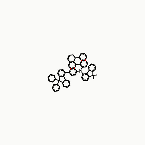 CC1(C)c2ccccc2-c2c(N(c3ccc(-c4cccc5c4-c4ccccc4C5(c4ccccc4)c4ccccc4)cc3)c3ccccc3-c3cccc4c3C(c3ccccc3)CC=C4)cccc21